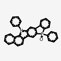 O=P1(c2ccccc2)c2ccccc2-c2cc3c(cc21)c1ccc2ccccc2c1n3-c1ccccc1